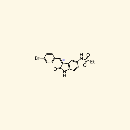 CCS(=O)(=O)Nc1ccc2c(c1)/C(=C/c1ccc(Br)cc1)C(=O)N2